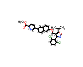 COC(=O)c1ccc(-c2ccc3cc(OCc4c(-c5c(Cl)cccc5Cl)noc4C(C)C)ccc3c2)cn1